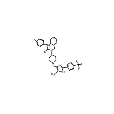 Cc1[nH]c(-c2ccc(C(F)(F)F)cc2)nc1CN1CCC(N(Cc2ccccc2)C(=O)Nc2ccc(F)cc2)CC1